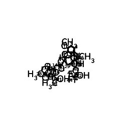 COc1ccc2c3c1O[C@H]1C(OC(=O)CC(OC(=O)C(C)O)C(=O)OC(C)(C)C)=CC[C@@]4(O)[C@@H](C2)N(C)CC[C@]314.O=C(O)C(F)(F)F